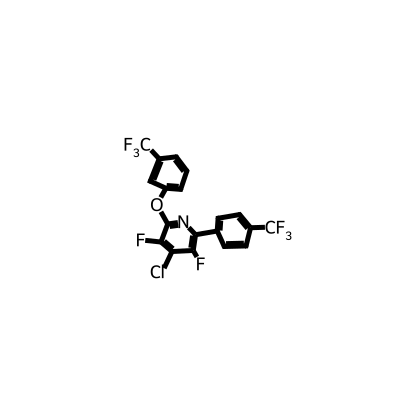 Fc1c(Oc2cccc(C(F)(F)F)c2)nc(-c2ccc(C(F)(F)F)cc2)c(F)c1Cl